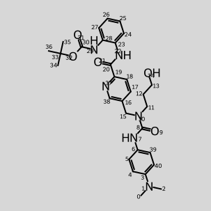 CN(C)c1ccc(NC(=O)N(CCCO)Cc2ccc(C(=O)Nc3ccccc3NC(=O)OC(C)(C)C)nc2)cc1